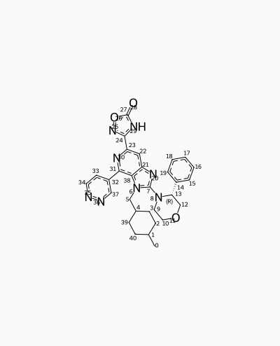 CC1CCC(Cn2c(N3CCOC[C@H]3c3ccccc3)nc3cc(-c4noc(=O)[nH]4)nc(-c4ccnnc4)c32)CC1